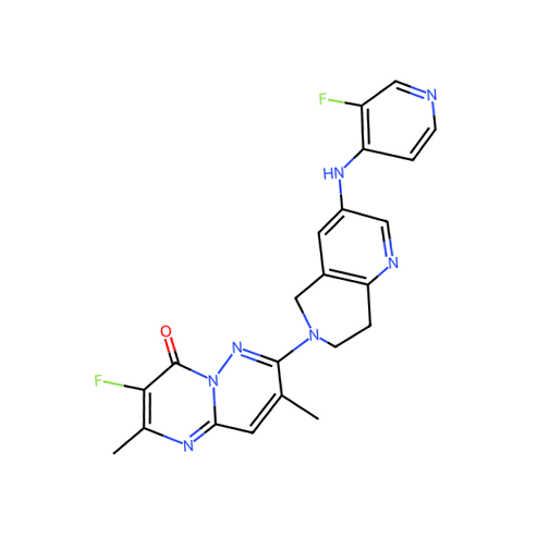 Cc1cc2nc(C)c(F)c(=O)n2nc1N1CCc2ncc(Nc3ccncc3F)cc2C1